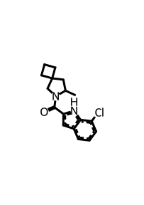 CC1CC2(CCC2)CN1C(=O)c1cc2cccc(Cl)c2[nH]1